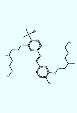 CCC(C)(C)c1ccc(/C=C/c2ccc(C(C)C)c(OCCC(C)CCCC(C)C)c2)cc1OCCC(C)CCCC(C)C